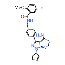 COc1ccc(F)cc1C(=O)NCc1ccc(-c2nn(C3C=CCC3)c3ncnc(N)c23)cc1